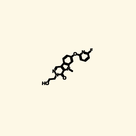 Cn1c2cc(Oc3cccc(F)n3)ccc2c2cnn(CCO)c(=O)c21